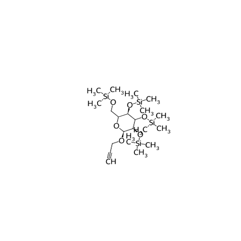 C#CCO[C@H]1OC(CO[Si](C)(C)C)[C@@H](O[Si](C)(C)C)C(O[Si](C)(C)C)[C@H]1O[Si](C)(C)C